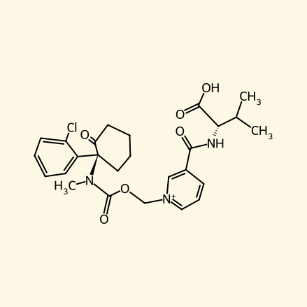 CC(C)[C@H](NC(=O)c1ccc[n+](COC(=O)N(C)[C@]2(c3ccccc3Cl)CCCCC2=O)c1)C(=O)O